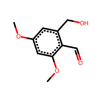 COc1cc(CO)c(C=O)c(OC)c1